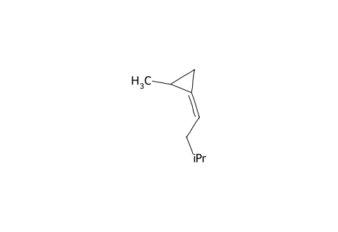 CC(C)CC=C1CC1C